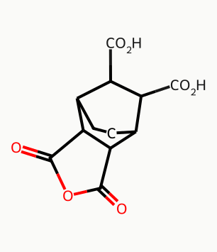 O=C(O)C1C2CCC(C1C(=O)O)C1C(=O)OC(=O)C21